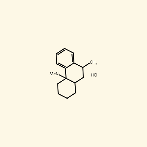 CNC12CCCCC1CC(C)c1ccccc12.Cl